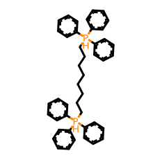 c1ccc([PH](CCCCCCCC[PH](c2ccccc2)(c2ccccc2)c2ccccc2)(c2ccccc2)c2ccccc2)cc1